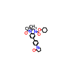 CC(=O)N1c2ccc(-c3ccc(N4CCCC4=O)cc3)cc2N(C(=O)OC2CCCCC2)C[C@@H]1C